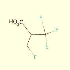 O=C(O)C(CF)C(F)(F)F